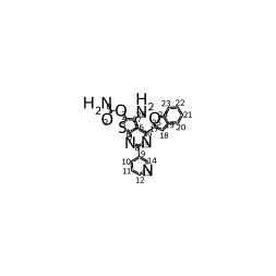 NC(=O)Oc1sc2nc(-c3cccnc3)nc(-c3cc4ccccc4o3)c2c1N